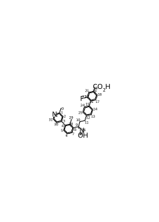 Cc1cc(-c2cccc(/C(CCc3ccc(-c4ccc(C(=O)O)cc4F)cc3)=N\O)c2C)ccn1